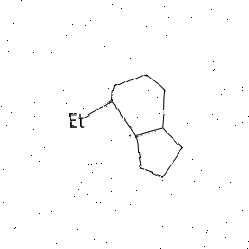 CCC1CCCC2CCC[C]12